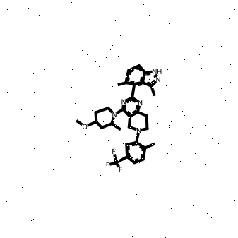 COC1CCN(c2nc(-c3c(C)ccc4[nH]nc(C)c34)nc3c2CN(c2cc(C(F)(F)F)ccc2C)CC3)C(C)C1